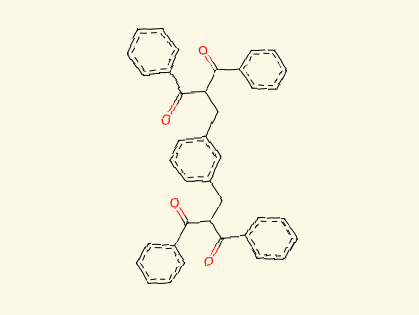 O=C(c1ccccc1)C(Cc1cccc(CC(C(=O)c2ccccc2)C(=O)c2ccccc2)c1)C(=O)c1ccccc1